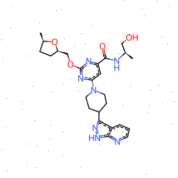 C[C@H](CO)NC(=O)c1cc(N2CCC(c3n[nH]c4ncccc34)CC2)nc(OC[C@H]2CC[C@@H](C)O2)n1